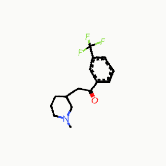 CN1CCCC(CC(=O)c2cccc(C(F)(F)F)c2)C1